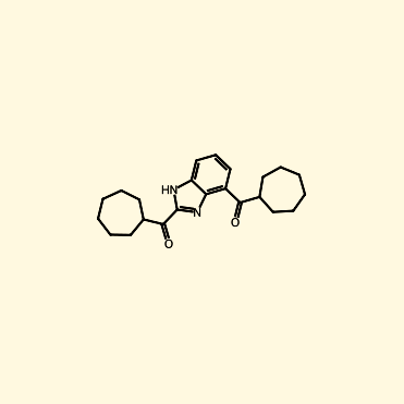 O=C(c1nc2c(C(=O)C3CCCCCC3)cccc2[nH]1)C1CCCCCC1